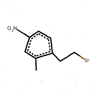 [CH2]c1cc([N+](=O)[O-])ccc1CCBr